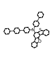 c1ccc(-c2ccc(-c3ccc(N(c4ccc(-c5ccccc5)cc4)c4cc5c6ccccc6oc5c5c4sc4ccccc45)cc3)cc2)cc1